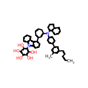 C/C=C\C=C/c1cc(C)cc(-c2ccc(N(C3=CC(c4cccc5c4c4ccccc4n5-c4c(O)c(O)c(O)c(O)c4O)=CC=CC3)c3cccc4ccccc34)cc2)c1